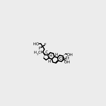 CC[C@@]1(O)CC2=CC[C@H]3[C@@H]4CC[C@H]([C@H](C)CC(F)(F)CO)[C@@]4(C)CC[C@@H]3[C@@]2(C)C[C@@H]1CO